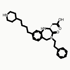 O=C(O)C[C@H]1Nc2cc(CCCCC3CCNCC3)ccc2CN(CCc2ccccc2)C1=O